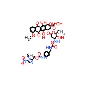 COc1cccc2c1C(=O)c1c(O)c3c(c(O)c1C2=O)C[C@@](O)(C(=O)CO)C[C@@H]3OC1CC(NOC(=O)NCc2ccc(NC(=O)OCc3ncc([N+](=O)[O-])n3C)cc2)C(O)C(C)O1